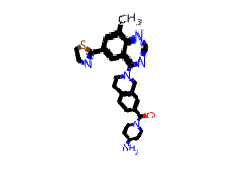 Cc1cc(-c2nccs2)cc2c(N3CCc4ccc(C(=O)N5CCC(N)CC5)cc4C3)ncnc12